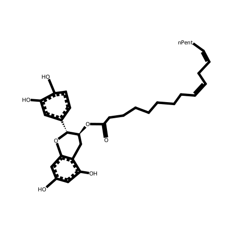 CCCCC/C=C\C/C=C\CCCCCCCC(=O)O[C@H]1Cc2c(O)cc(O)cc2O[C@@H]1c1ccc(O)c(O)c1